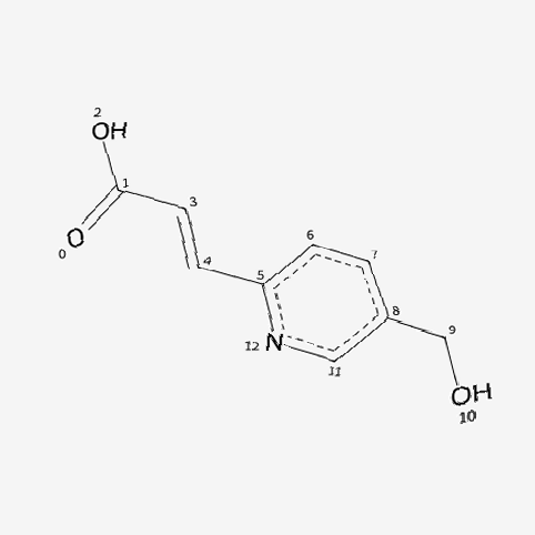 O=C(O)C=Cc1ccc(CO)cn1